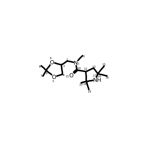 CN(CC1COC(C)(C)O1)C(=O)C1CC(C)(C)NC1(C)C